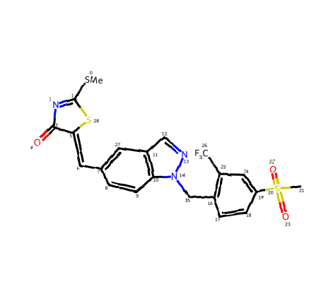 CSC1=NC(=O)C(=Cc2ccc3c(cnn3Cc3ccc(S(C)(=O)=O)cc3C(F)(F)F)c2)S1